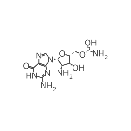 Nc1nc2c(ncn2[C@@H]2O[C@H](COP(N)O)[C@@H](O)[C@H]2N)c(=O)[nH]1